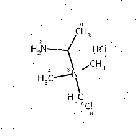 CC(N)[N+](C)(C)C.Cl.[Cl-]